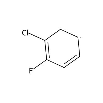 FC1=C(Cl)C[CH]C=C1